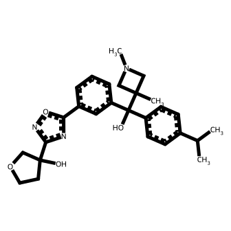 CC(C)c1ccc(C(O)(c2cccc(-c3nc(C4(O)CCOC4)no3)c2)C2(C)CN(C)C2)cc1